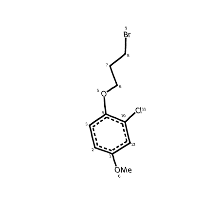 COc1ccc(OCCCBr)c(Cl)c1